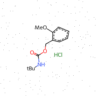 COc1ccccc1COC(=O)NC(C)(C)C.Cl